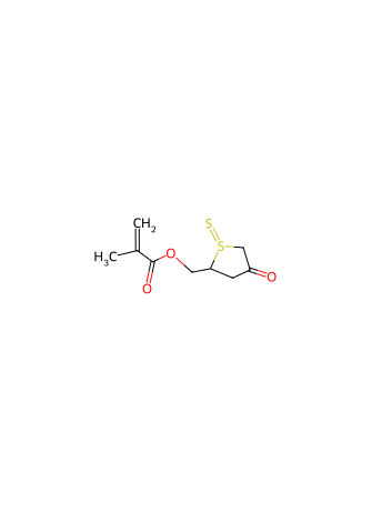 C=C(C)C(=O)OCC1CC(=O)CS1=S